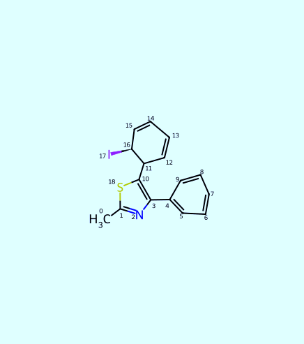 Cc1nc(-c2ccccc2)c(C2C=CC=C[C@@H]2I)s1